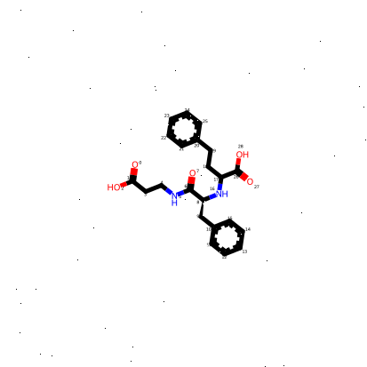 O=C(O)CCNC(=O)[C@H](Cc1ccccc1)NC(CCc1ccccc1)C(=O)O